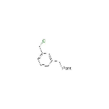 CCCCCCc1cccc(CCl)c1